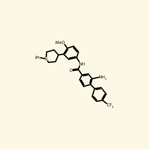 COc1ccc(NC(=O)c2ccc(-c3ccc(C(F)(F)F)cc3)c(N)c2)cc1C1CCN(C(C)C)CC1